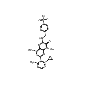 CC[C@@H](C)n1c(=O)c(NCc2ccc(S(=O)(=O)CC)cn2)nc2c(OC)nc(-c3c(C)ncnc3C3CC3)nc21